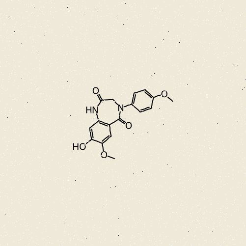 COc1ccc(N2CC(=O)Nc3cc(O)c(OC)cc3C2=O)cc1